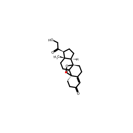 C[C@]12CC[C@@H]3[C@@]45CCC(=O)C=C4CC[C@@]3(OC5)[C@@H]1CC[C@@H]2C(=O)CO